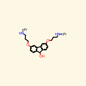 CCCNCCCOc1ccc2c(c1)-c1cc(OCCCNCCC)ccc1C2O